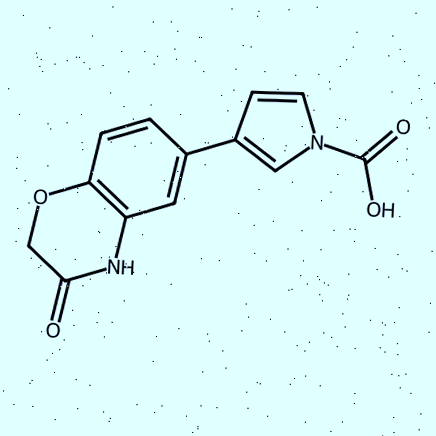 O=C1COc2ccc(-c3ccn(C(=O)O)c3)cc2N1